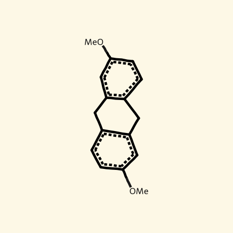 COc1ccc2c(c1)Cc1ccc(OC)cc1C2